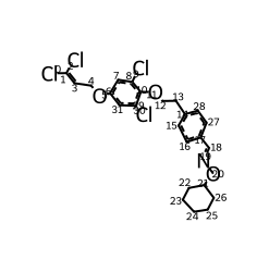 ClC(Cl)=CCOc1cc(Cl)c(OCCc2ccc(C=NOC3CCCCC3)cc2)c(Cl)c1